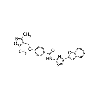 Cc1noc(C)c1COc1ccc(C(=O)Nc2nc(-c3cc4ccccc4o3)cs2)cc1